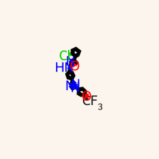 FC(F)(F)Oc1ccc(-n2cnc(-c3ccc(NC4=NC(c5ccccc5Cl)CO4)cc3)n2)cc1